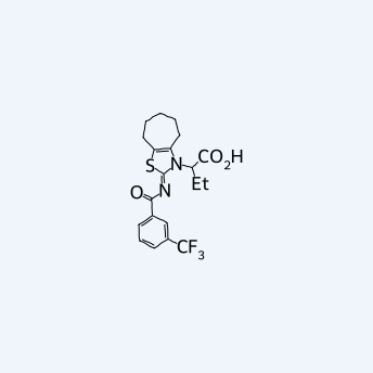 CCC(C(=O)O)n1c2c(s/c1=N\C(=O)c1cccc(C(F)(F)F)c1)CCCCC2